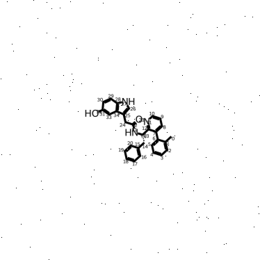 Cc1ccccc1-c1cccnc1[C@H](Cc1ccccc1)NC(=O)Cc1c[nH]c2ccc(O)cc12